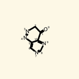 O=C1CN=Nc2cncnc21